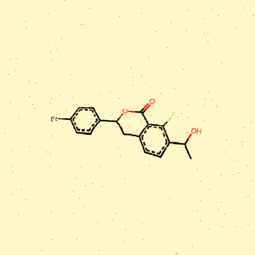 CCc1ccc(C2Cc3ccc(C(C)O)c(F)c3C(=O)O2)cc1